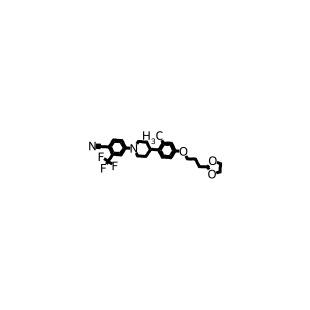 Cc1cc(OCCCC2OCCO2)ccc1C1CCN(c2ccc(C#N)c(C(F)(F)F)c2)CC1